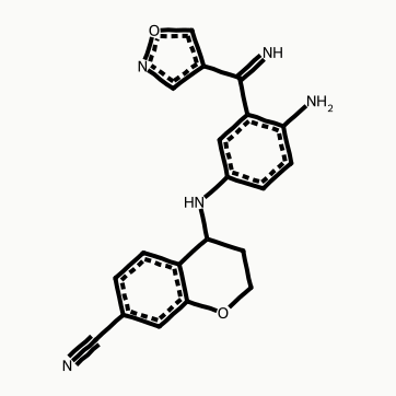 N#Cc1ccc2c(c1)OCCC2Nc1ccc(N)c(C(=N)c2cnoc2)c1